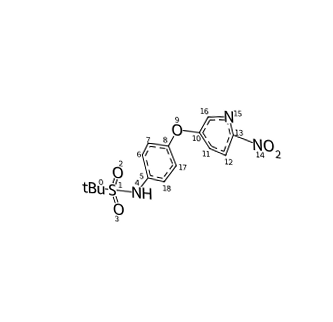 CC(C)(C)S(=O)(=O)Nc1ccc(Oc2ccc([N+](=O)[O-])nc2)cc1